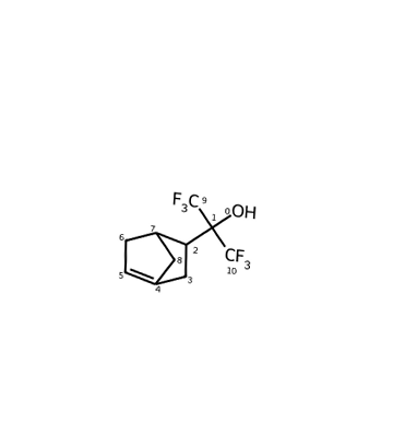 OC(C1CC2=CCC1C2)(C(F)(F)F)C(F)(F)F